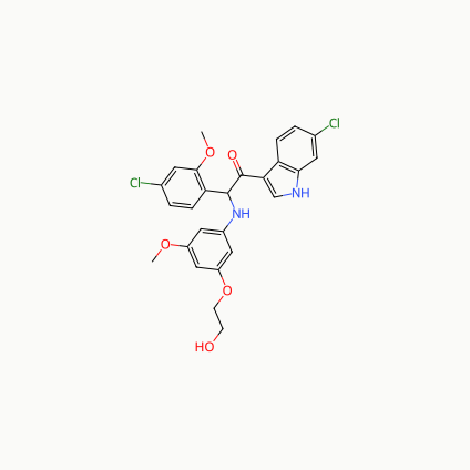 COc1cc(NC(C(=O)c2c[nH]c3cc(Cl)ccc23)c2ccc(Cl)cc2OC)cc(OCCO)c1